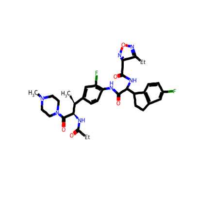 CCC(=O)N[C@@H](C(=O)N1CCN(C)CC1)[C@@H](C)c1ccc(NC(=O)C(NC(=O)c2nonc2CC)C2CCc3cc(F)ccc32)c(F)c1